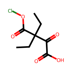 CCC(CC)(C(=O)OCl)C(=O)C(=O)O